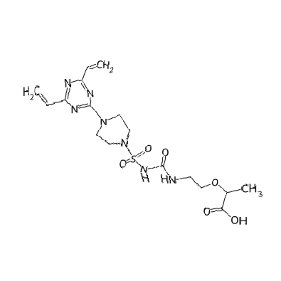 C=Cc1nc(C=C)nc(N2CCN(S(=O)(=O)NC(=O)NCCOC(C)C(=O)O)CC2)n1